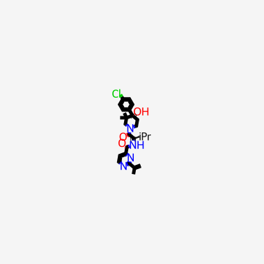 C=C(C)c1nccc(C(=O)N[C@@H](C(=O)N2CC[C@](O)(c3ccc(Cl)cc3)C(C)(C)C2)C(C)C)n1